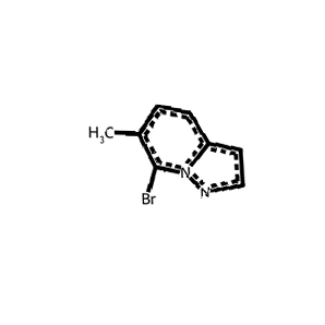 Cc1ccc2ccnn2c1Br